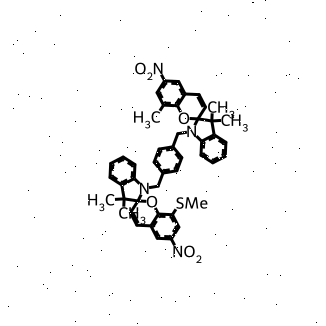 CSc1cc([N+](=O)[O-])cc2c1OC1(C=C2)N(Cc2ccc(CN3c4ccccc4C(C)(C)C34C=Cc3cc([N+](=O)[O-])cc(C)c3O4)cc2)c2ccccc2C1(C)C